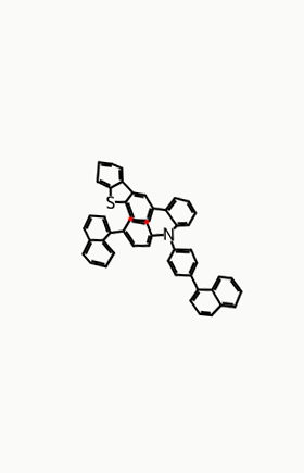 c1ccc(N(c2ccc(-c3cccc4ccccc34)cc2)c2ccc(-c3cccc4ccccc34)cc2)c(-c2ccc3sc4ccccc4c3c2)c1